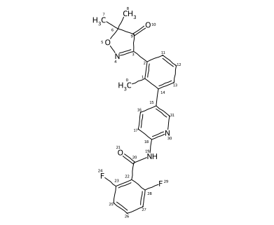 Cc1c(C2=NOC(C)(C)C2=O)cccc1-c1ccc(NC(=O)c2c(F)cccc2F)nc1